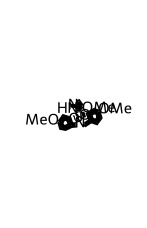 COc1ccc(CN(Cc2ccc(OC)cc2)S(=O)(=O)c2[nH]ncc2OC)cc1